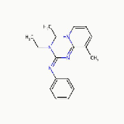 CCN(CC)C(=Nc1ccccc1)N=c1[nH]cccc1C